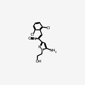 [C-]#[N+]C(=Cc1c(Cl)cccc1Cl)c1cc(N)n(CCO)n1